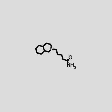 NC(=O)CCCCN1CCC2CCCCC2C1